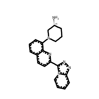 N[C@@H]1CCCN(c2cccc3ccc(-c4nnc5ccccn45)nc23)C1